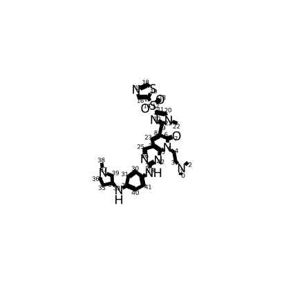 CN(C)CCn1c(=O)c(-c2nc(S(=O)(=O)c3cncs3)cn2C)cc2cnc(Nc3ccc(NC4CCN(C)C4)cc3)nc21